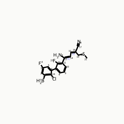 Bc1cc(F)cc(-c2cccc(/C(N)=C/C=C(/C#N)CSC)c2F)c1Cl